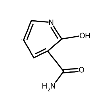 NC(=O)c1c[c]cnc1O